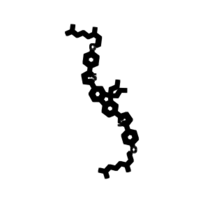 CCCC1(CCC)c2cc(-c3ccc(-c4ccc(O/C=C\C(C)CCCC(C)C)cc4)s3)ccc2-c2ccc(-c3ccc(-c4ccc(OCCC(C)CCCC(C)C)cc4)s3)cc21